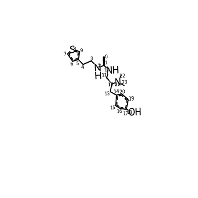 C=C(NCCc1ccsc1)NC[C@H](Cc1ccc(O)cc1)N(C)C